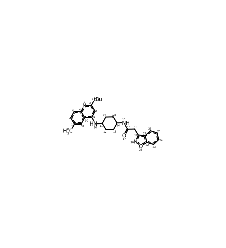 Cc1ccc2nc(C(C)(C)C)cc(NC3CCC(NC(=O)Cc4noc5ccccc45)CC3)c2c1